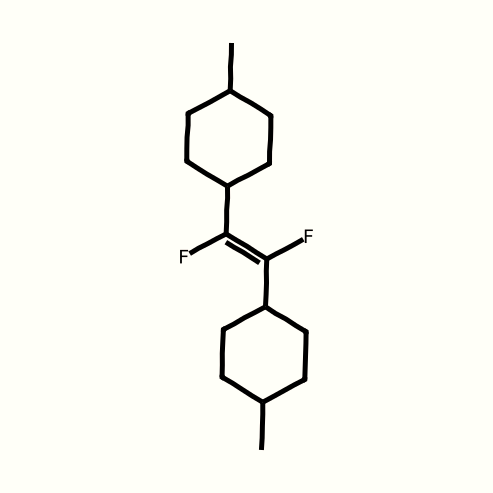 CC1CCC(/C(F)=C(\F)C2CCC(C)CC2)CC1